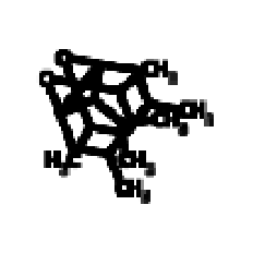 CC1CC(C)C2OC2(C(C(C)C)C23CC(C)CC(C)C2O3)C1